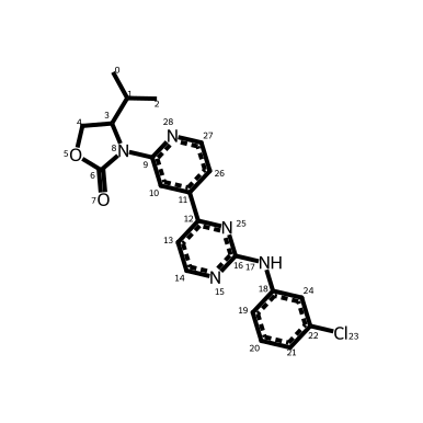 CC(C)C1COC(=O)N1c1cc(-c2ccnc(Nc3cccc(Cl)c3)n2)ccn1